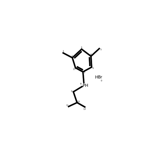 Br.Cc1cc(C)cc(PCC(C)C)c1